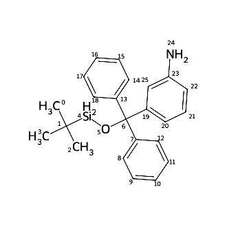 CC(C)(C)[SiH2]OC(c1ccccc1)(c1ccccc1)c1cccc(N)c1